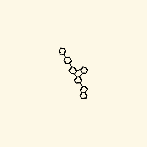 c1ccc(-c2ccc(-c3ccc4c5ccc(-c6ccc7ccccc7c6)cc5c5ccccc5c4c3)cc2)nc1